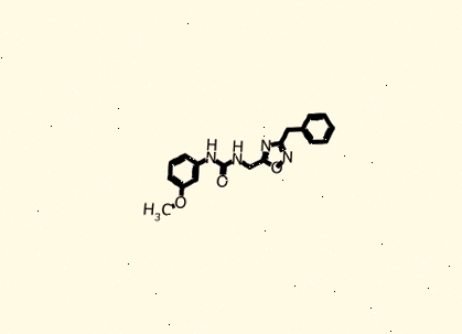 COc1cccc(NC(=O)NCc2nc(Cc3ccccc3)no2)c1